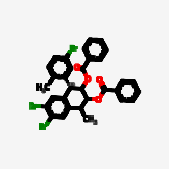 Cc1ccc(Br)cc1[C@H]1c2cc(Br)c(Br)cc2C(C)C(OC(=O)c2ccccc2)C1OC(=O)c1ccccc1